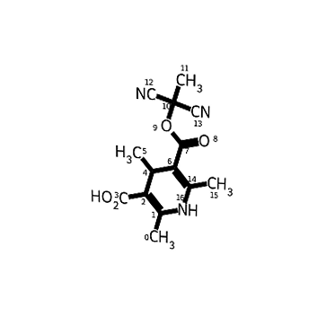 CC1=C(C(=O)O)C(C)C(C(=O)OC(C)(C#N)C#N)=C(C)N1